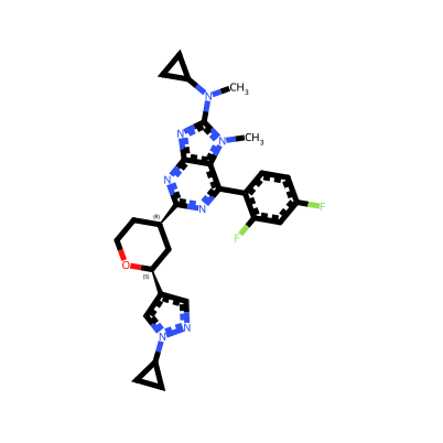 CN(c1nc2nc([C@@H]3CCO[C@H](c4cnn(C5CC5)c4)C3)nc(-c3ccc(F)cc3F)c2n1C)C1CC1